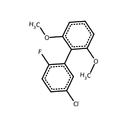 COc1cccc(OC)c1-c1cc(Cl)ccc1F